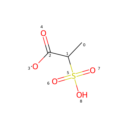 CC(C([O])=O)S(=O)(=O)O